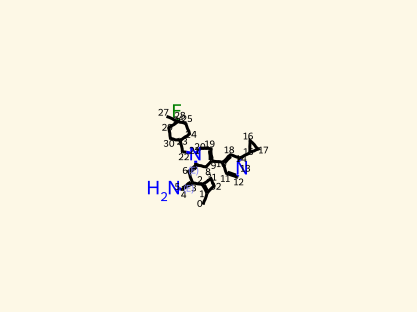 CC1=C(C(=C/N)/C=C2\CC(c3ccnc(C4CC4)c3)=CCN2CC2CCC(C)(F)CC2)CC1